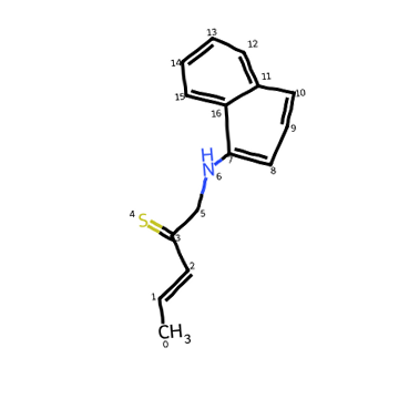 CC=CC(=S)CNc1cccc2ccccc12